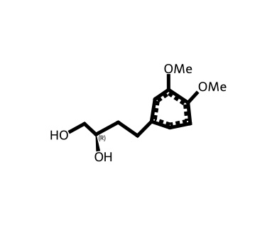 COc1ccc(CC[C@@H](O)CO)cc1OC